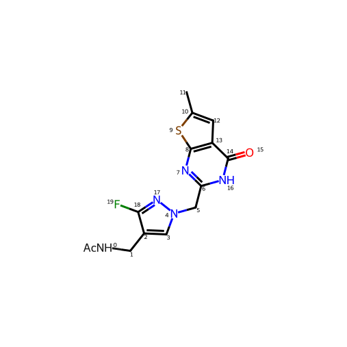 CC(=O)NCc1cn(Cc2nc3sc(C)cc3c(=O)[nH]2)nc1F